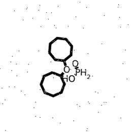 C1CCCC(OC2CCCCCCC2)CCC1.O=[PH2]O